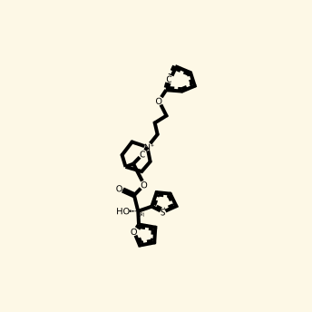 O=C(OC1C[N+]2(CCCOc3ccccc3)CCC1CC2)[C@](O)(c1ccco1)c1cccs1